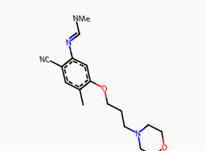 CNC=Nc1cc(OCCCN2CCOCC2)c(C)cc1C#N